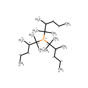 CCCC(C)C(C)(C)P(C(C)(C)C(C)CCC)C(C)(C)C(C)CCC